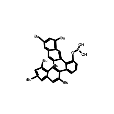 CCC(C)c1cc(C(C)CC)c2cc(-c3cccc(OP(O)O)c3-c3cc4c(C(C)CC)cc(C(C)CC)cc4cc3C(C)CC)c(C(C)CC)cc2c1